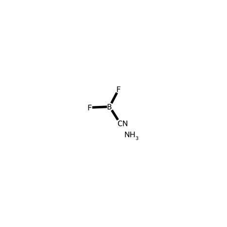 N.N#CB(F)F